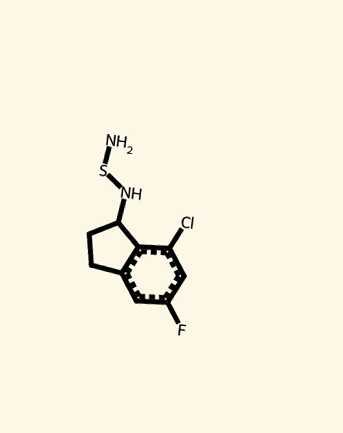 NSNC1CCc2cc(F)cc(Cl)c21